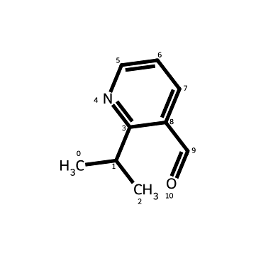 CC(C)c1ncccc1[C]=O